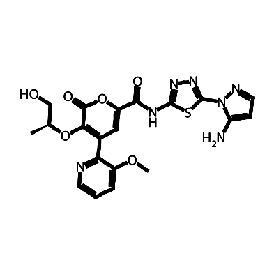 COc1cccnc1-c1cc(C(=O)Nc2nnc(-n3nccc3N)s2)oc(=O)c1O[C@@H](C)CO